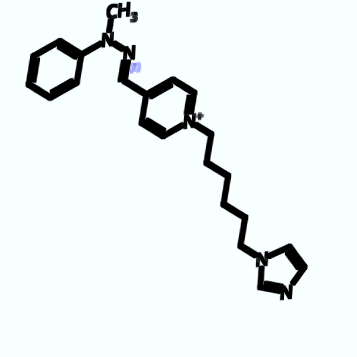 CN(/N=C/c1cc[n+](CCCCCCn2ccnc2)cc1)c1ccccc1